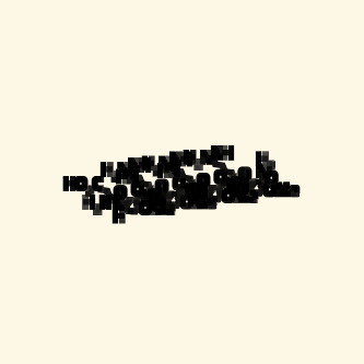 COc1ccc(NC(=O)[C@H](CCCCC(=N)N)NC(=O)c2cc(NC(=O)[C@H](CCCNC(=N)N)NC(=O)c3cc(NC(=O)[C@H](CCCNC(=N)N)NC(=O)c4cc(NC(=O)[C@@H](N)CCC(=O)O)ccc4OC)ccc3OC)ccc2OC)cc1C(N)=O